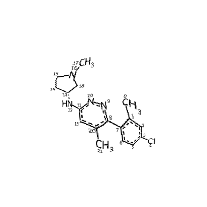 Cc1cc(Cl)ccc1-c1nnc(N[C@@H]2CCN(C)C2)cc1C